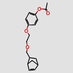 CC(=O)Oc1ccc(OCCOCC2CC3C=CC2C3)cc1